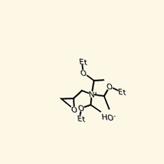 CCOC(C)[N+](CC1CO1)(C(C)OCC)C(C)OCC.[OH-]